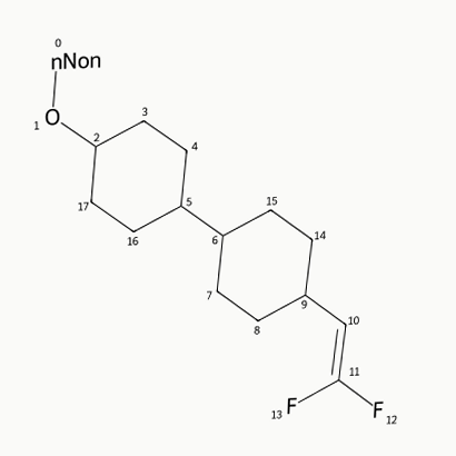 CCCCCCCCCOC1CCC(C2CCC(C=C(F)F)CC2)CC1